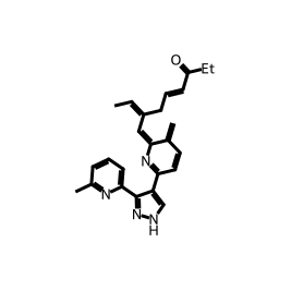 C=c1ccc(-c2c[nH]nc2-c2cccc(C)n2)n/c1=C/C(=C\C)C/C=C/C(=O)CC